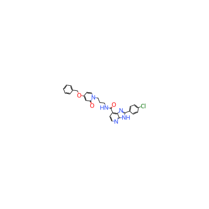 O=C(NCCCn1ccc(OCc2ccccc2)cc1=O)c1ccnc2[nH]c(-c3ccc(Cl)cc3)nc12